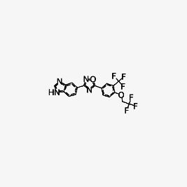 FC(F)(F)COc1ccc(-c2nc(-c3ccc4[nH]cnc4c3)no2)cc1C(F)(F)F